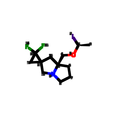 C[C@@H](I)OC[C@@]12CCCN1CC1(CC1(F)F)C2